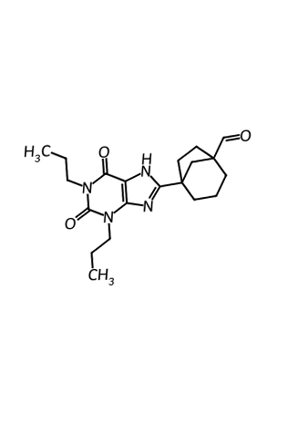 CCCn1c(=O)c2[nH]c(C34CCCC(C=O)(CC3)C4)nc2n(CCC)c1=O